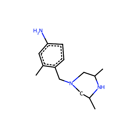 Cc1cc(N)ccc1CN1CC(C)NC(C)C1